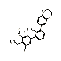 COc1cc(-c2cccc(-c3ccc4c(c3)OCCO4)c2C)cc(F)c1CN